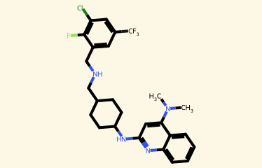 CN(C)c1cc(NC2CCC(CNCc3cc(C(F)(F)F)cc(Cl)c3F)CC2)nc2ccccc12